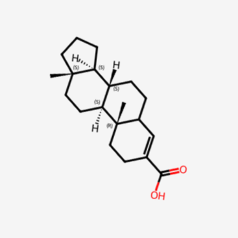 C[C@@]12CCC[C@H]1[C@@H]1CCC3C=C(C(=O)O)CC[C@]3(C)[C@H]1CC2